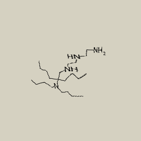 CCCCN(CCCC)C(CCCC)(CCCC)CNCCNCCN